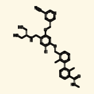 CNC(=O)c1cccc(-c2cccc(COc3cc(OCc4cncc(C#N)c4)c(CNC(CO)CO)cc3Cl)c2C)c1C